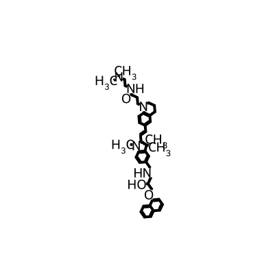 CN(C)CCNC(=O)CCN1CCCc2cc(C=CC3=[N+](C)c4ccc(CNCC(O)COc5cccc6ccccc56)cc4C3(C)C)ccc21